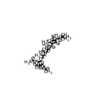 CNN(/C=C(\N)CO[C@H](O[C@H](COC(C)=O)[C@@H](C)I)[C@@H](COC(C)=O)OC(C)=O)CCCNC(=O)[C@@H]1N2C(=O)C(NC(=O)OC(C)(C)C)[C@@]2(C#N)SC1(C)C